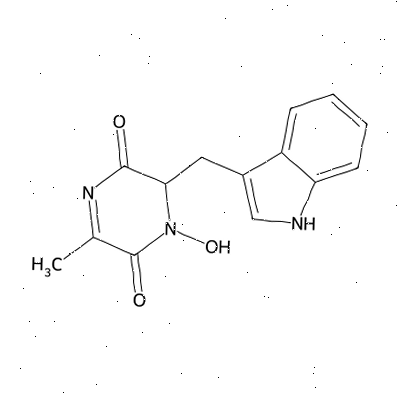 CC1=NC(=O)C(Cc2c[nH]c3ccccc23)N(O)C1=O